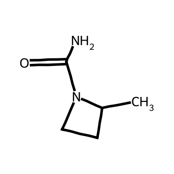 CC1CCN1C(N)=O